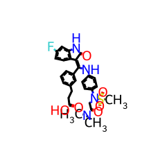 CN(C)C(=O)CN(c1ccc(N/C(=C2\C(=O)Nc3cc(F)ccc32)c2cccc(CCC(=O)O)c2)cc1)S(C)(=O)=O